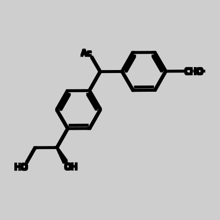 CC(=O)C(c1ccc([C]=O)cc1)c1ccc([C@@H](O)CO)cc1